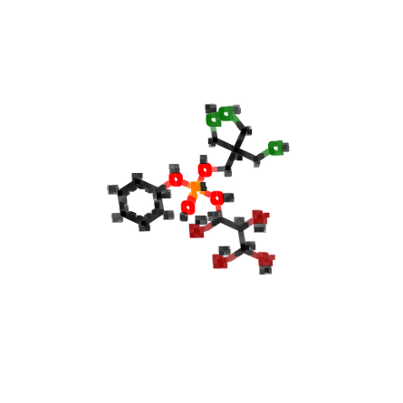 O=P(OCC(CCl)(CCl)CCl)(Oc1ccccc1)OC(Br)C(Br)C(Br)Br